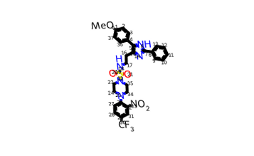 COc1ccc(-c2[nH]c(-c3ccccc3)nc2CCNS(=O)(=O)N2CCN(c3ccc(C(F)(F)F)cc3[N+](=O)[O-])CC2)cc1